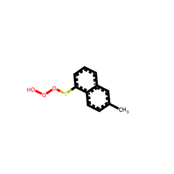 Cc1ccc2c(SOOO)cccc2c1